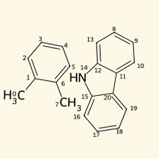 Cc1ccccc1C.c1ccc2c(c1)[nH]c1ccccc12